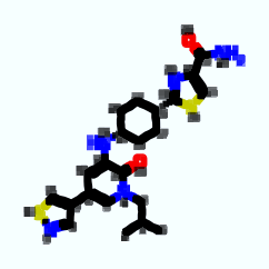 CC(C)Cn1cc(-c2cnsc2)cc(N[C@H]2CC[C@@H](c3nc(C(N)=O)cs3)CC2)c1=O